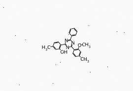 COc1cc(C)ccc1-c1nc(-c2ccccc2)nc(-c2ccc(C)cc2O)n1